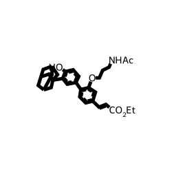 CCOC(=O)/C=C/c1ccc(-c2ccc(O)c(C34CC5CC(CC(C5)C3)C4)c2)c(OCCCNC(C)=O)c1